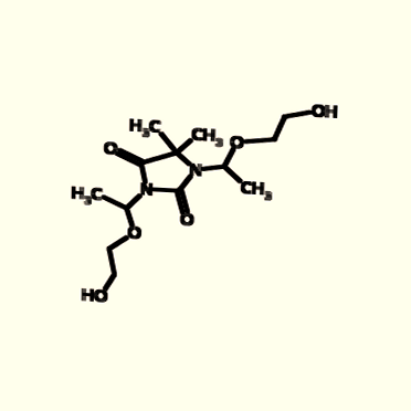 CC(OCCO)N1C(=O)N(C(C)OCCO)C(C)(C)C1=O